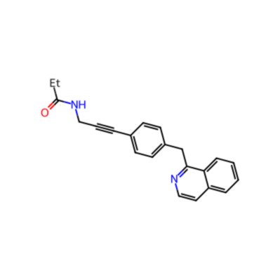 CCC(=O)NCC#Cc1ccc(Cc2nccc3ccccc23)cc1